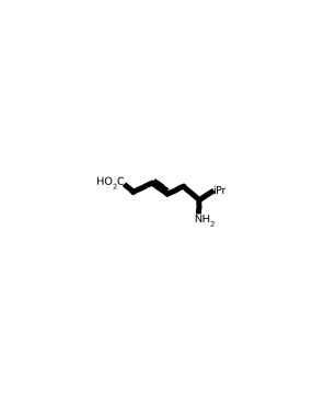 CC(C)C(N)C/C=C/CC(=O)O